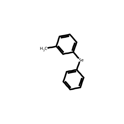 Cc1cccc([Se]c2ccccc2)c1